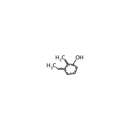 C=c1c(O)ccc/c1=C/C